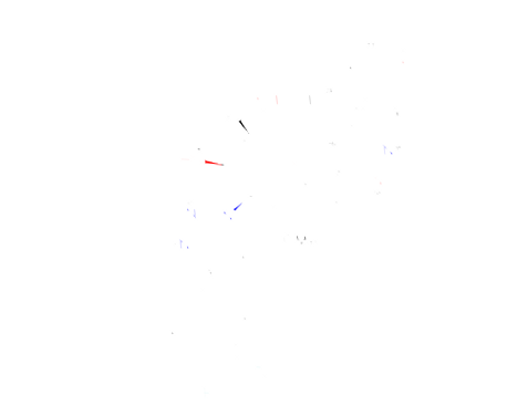 CO[C@@H]1[C@@H](n2cc(-c3cc(F)c(F)c(F)c3)nn2)[C@@H](O)[C@@H](CO)O[C@@H]1Cc1cc(C2(C)CCOCC2)no1